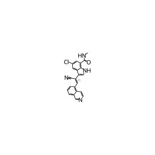 CNC(=O)c1cc(Cl)cc2c(/C(C#N)=C/c3cccc4cnccc34)c[nH]c12